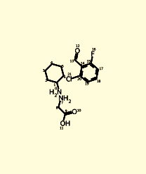 NC1CCCCC1.NCC(=O)O.O=Cc1c(F)cccc1Cl